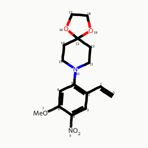 C=Cc1cc([N+](=O)[O-])c(OC)cc1N1CCC2(CC1)OCCO2